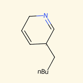 CCCCC[C]1C=CCN=C1